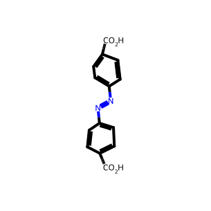 O=C(O)c1ccc(N=Nc2ccc(C(=O)O)cc2)cc1